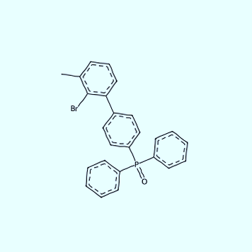 Cc1cccc(-c2ccc(P(=O)(c3ccccc3)c3ccccc3)cc2)c1Br